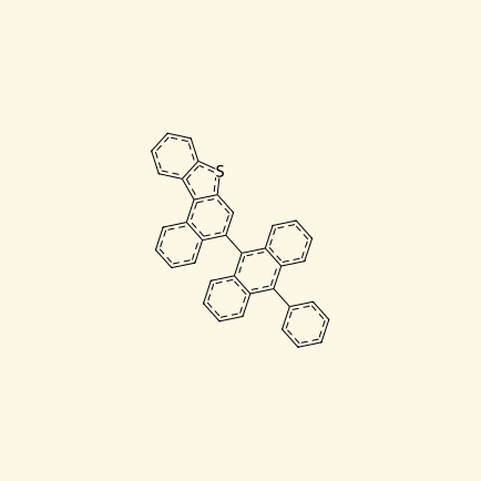 c1ccc(-c2c3ccccc3c(-c3cc4sc5ccccc5c4c4ccccc34)c3ccccc23)cc1